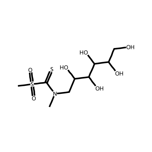 CN(CC(O)C(O)C(O)C(O)CO)C(=S)S(C)(=O)=O